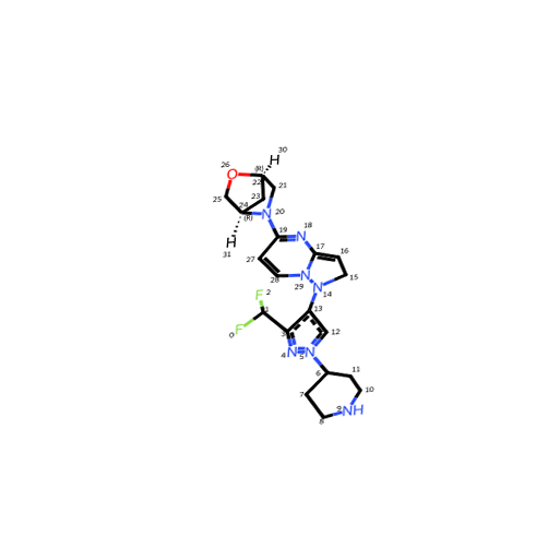 FC(F)c1nn(C2CCNCC2)cc1N1CC=C2N=C(N3C[C@H]4C[C@@H]3CO4)C=CN21